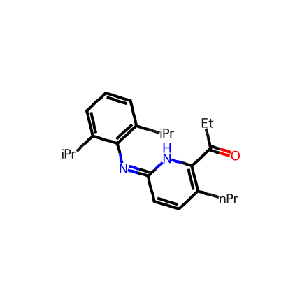 CCCc1ccc(=Nc2c(C(C)C)cccc2C(C)C)[nH]c1C(=O)CC